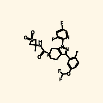 CC1(NC(=O)[C@@H]2CCc3c(-c4cc(OC(F)F)ccc4F)nn(-c4ncc(F)cc4F)c3C2)CS(=O)(=O)C1